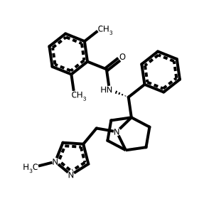 Cc1cccc(C)c1C(=O)N[C@H](c1ccccc1)C12CCC(CC1)N2Cc1cnn(C)c1